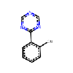 N#Cc1ccccc1-c1ncncn1